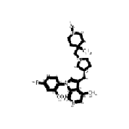 CC(=O)N1CCC(C)(CN2CC[C@@H](Cc3cn(-c4ccc(F)cc4C(=O)O)c4cncc(C)c34)C2)CC1